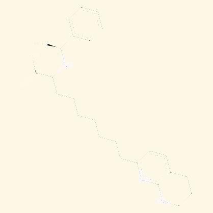 C[C@H](NC(CCCCCCCc1ccc2c(n1)NCCC2)C(=O)O)c1ccccc1